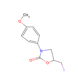 COc1ccc(N2CC(CI)OC2=O)cc1